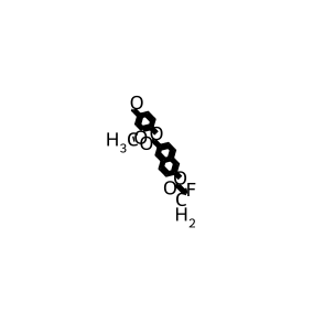 C=C(F)C(=O)Oc1ccc2cc(C(=O)Oc3ccc(C=O)cc3OC)ccc2c1